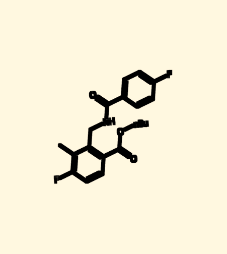 CCCCOC(=O)c1ccc(F)c(C)c1CNC(=O)c1ccc(F)cc1